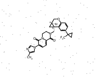 Cc1cn(-c2ccc3n(c2=O)CCN(C[C@]24C[C@H]2COc2ccc(C5(C(F)(F)F)CC5)cc24)C3=O)cn1